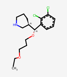 CCOCCCO[C@@H](c1cccc(Cl)c1Cl)[C@@H]1CCCNC1